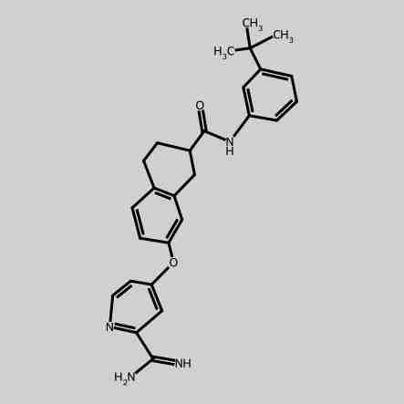 CC(C)(C)c1cccc(NC(=O)C2CCc3ccc(Oc4ccnc(C(=N)N)c4)cc3C2)c1